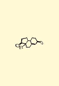 CCC12CCC3=CC(=O)CCC3C1CCC2=O